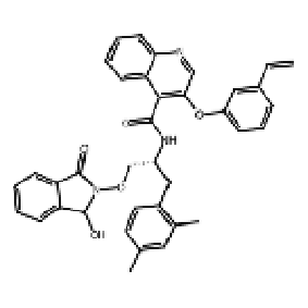 C=Cc1cccc(Oc2cnc3ccccc3c2C(=O)N[C@@H](CON2C(=O)c3ccccc3C2O)Cc2ccc(C)cc2C)c1